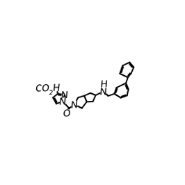 O=C(O)c1ccn(C(=O)N2CC3CC(NCc4cccc(-c5ccccc5)c4)CC3C2)n1